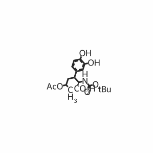 CC(=O)OC(C)CC(c1ccc(O)c(O)c1)[C@@H](NC(=O)OC(C)(C)C)C(=O)O